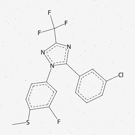 CSc1ccc(-n2nc(C(F)(F)F)nc2-c2cccc(Cl)c2)cc1F